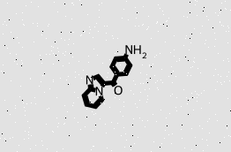 Nc1ccc(C(=O)c2cnc3ccccn23)cc1